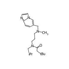 CC(C)CN(CCCN(C)Cc1ccc2nccn2c1)C(=O)CC(C)(C)C